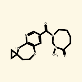 CN1CN(C(=O)c2cnc3c(c2)OCCC2(CC2)N3)CCCCC1=O